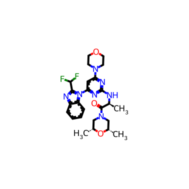 C[C@@H]1CN(C(=O)[C@H](C)Nc2nc(N3CCOCC3)cc(-n3c(C(F)F)nc4ccccc43)n2)C[C@H](C)O1